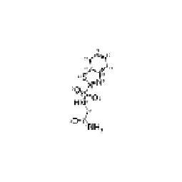 NC(=O)CNS(=O)(=O)c1nc2ccccc2s1